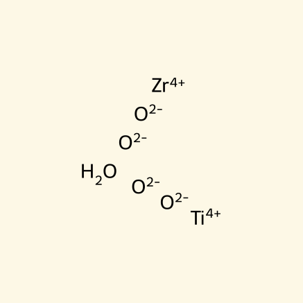 O.[O-2].[O-2].[O-2].[O-2].[Ti+4].[Zr+4]